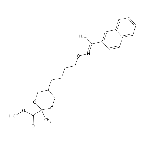 COC(=O)C1(C)OCC(CCCCON=C(C)c2ccc3ccccc3c2)CO1